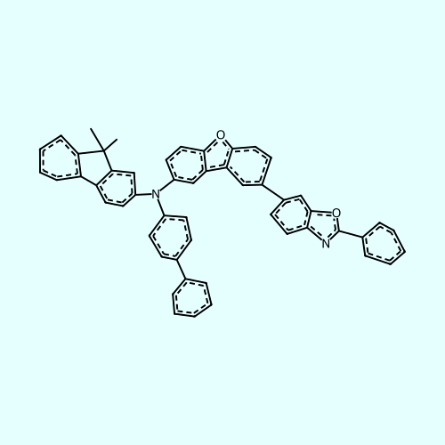 CC1(C)c2ccccc2-c2ccc(N(c3ccc(-c4ccccc4)cc3)c3ccc4oc5ccc(-c6ccc7nc(-c8ccccc8)oc7c6)cc5c4c3)cc21